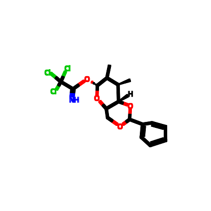 CC1[C@@H](OC(=N)C(Cl)(Cl)Cl)OC2COC(c3ccccc3)O[C@H]2[C@@H]1C